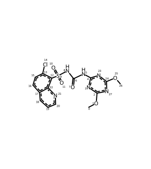 COc1nc(NC(=O)NS(=O)(=O)c2c(Cl)ccc3cccnc23)nc(OC)n1